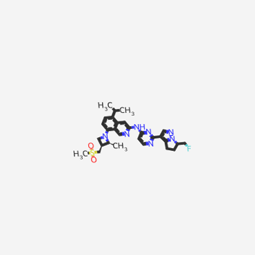 CC(C)c1ccc(N2C[C@H](CS(C)(=O)=O)[C@H]2C)c2cnc(Nc3ccnc(-c4cnn5c4CCC5CF)n3)cc12